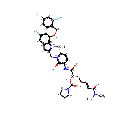 CN(C)C(=O)/C=C/CC[C@H](OC(=O)N1CCCC1)C(=O)Nc1cccn(Cc2cc3cc(F)cc(OCc4ccc(F)cc4F)c3n2C(=O)O)c1=O